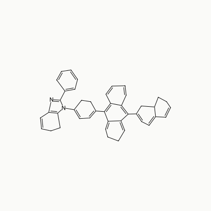 C1=Cc2nc(-c3ccccc3)n(C3=CC=C(c4c5c(c(C6=CC=C7C=CCCC7C6)c6ccccc46)=CCCC=5)CC3)c2CC1